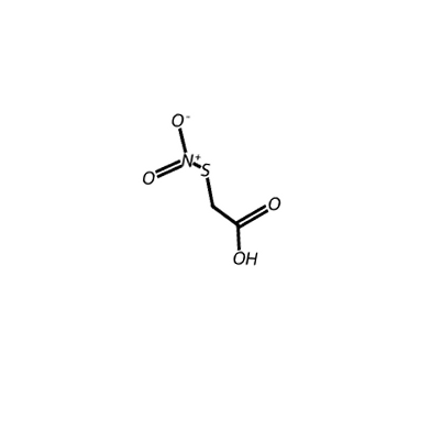 O=C(O)CS[N+](=O)[O-]